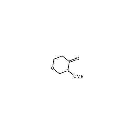 CON1COCCC1=O